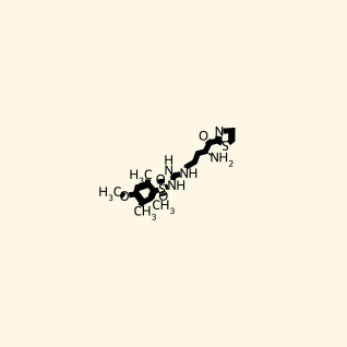 COc1cc(C)c(S(=O)(=O)NC(=N)NCCC[C@@H](N)C(=O)c2nccs2)c(C)c1C